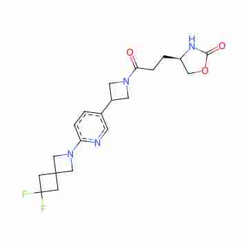 O=C1N[C@H](CCC(=O)N2CC(c3ccc(N4CC5(C4)CC(F)(F)C5)nc3)C2)CO1